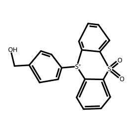 O=S1(=O)c2ccccc2[S+](c2ccc(CO)cc2)c2ccccc21